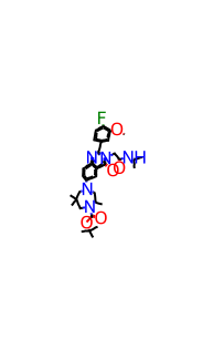 COc1cc(-c2nc3ccc(N4CC(C)N(C(=O)OC(C)(C)C)CC(C)(C)C4)cc3c(=O)n2CC(=O)NC(C)C)ccc1F